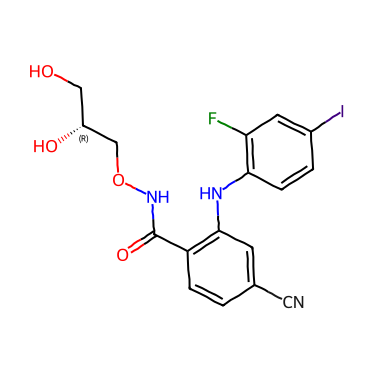 N#Cc1ccc(C(=O)NOC[C@H](O)CO)c(Nc2ccc(I)cc2F)c1